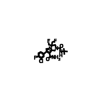 CC(C)(C)NC(=O)N1Cc2c(C(N)=O)c(-c3ccc(F)c(Cl)c3)cn2C(CF)(CF)C1